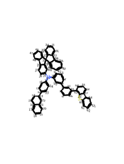 c1cc(-c2cccc(N(c3ccc(-c4ccc5ccccc5c4)cc3)c3ccc4c(c3)C3(c5ccccc5-c5ccccc53)c3ccccc3-4)c2)cc(-c2cccc3c2sc2ccccc23)c1